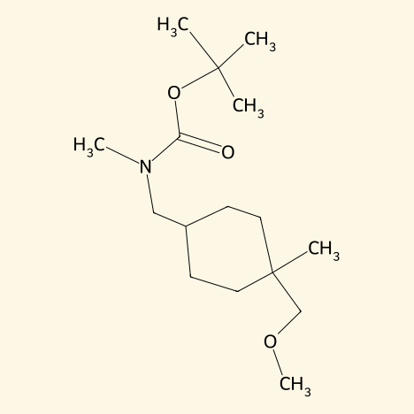 COCC1(C)CCC(CN(C)C(=O)OC(C)(C)C)CC1